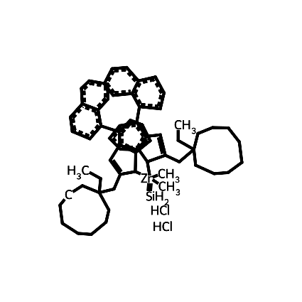 CCC1(CC2=Cc3c(-c4cccc5ccccc45)cccc3[CH]2[Zr]([CH3])([CH3])(=[SiH2])[CH]2C(CC3(CC)CCCCCCCC3)=Cc3c(-c4cccc5ccccc45)cccc32)CCCCCCCC1.Cl.Cl